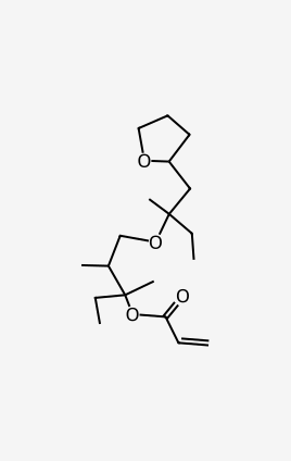 C=CC(=O)OC(C)(CC)C(C)COC(C)(CC)CC1CCCO1